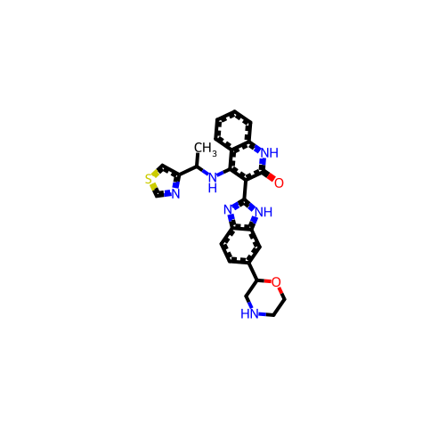 CC(Nc1c(-c2nc3ccc(C4CNCCO4)cc3[nH]2)c(=O)[nH]c2ccccc12)c1cscn1